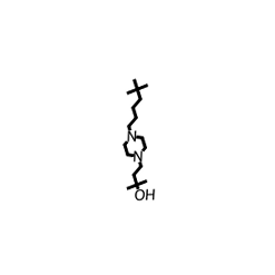 CC(C)(C)CCCCN1CCN(CCC(C)(C)O)CC1